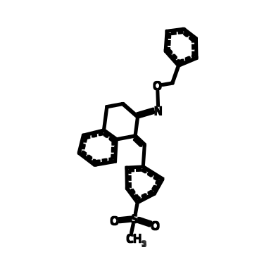 CS(=O)(=O)c1ccc(/C=C2/C(=NOCc3ccccc3)CCc3ccccc32)cc1